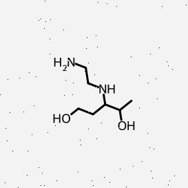 CC(O)C(CCO)NCCN